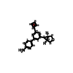 Nc1ncc(-c2cc(C3[C@H]4COC[C@@H]34)nc(N3CC4CC3C4)n2)cn1